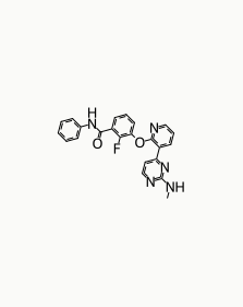 CNc1nccc(-c2cccnc2Oc2cccc(C(=O)Nc3ccccc3)c2F)n1